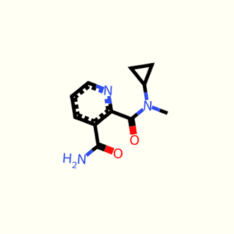 CN(C(=O)c1ncccc1C(N)=O)C1CC1